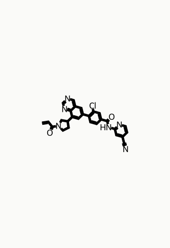 C=CC(=O)N1CCC(c2cc(-c3ccc(C(=O)Nc4cc(C#N)ccn4)cc3Cl)cc3cncnc23)C1